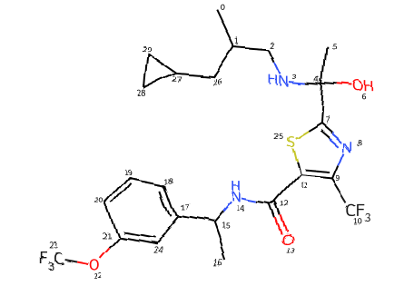 CC(CNC(C)(O)c1nc(C(F)(F)F)c(C(=O)NC(C)c2cccc(OC(F)(F)F)c2)s1)CC1CC1